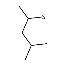 CC(C)CC(C)[S]